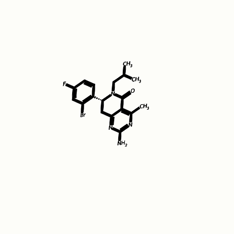 Cc1nc(N)nc2c1C(=O)N(CC(C)C)[C@@H](c1ccc(F)cc1Br)C2